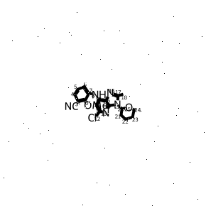 COc1c(C#N)cccc1Nc1cc(Cl)nc2c1nc(C)n2C1CCCCO1